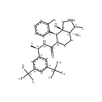 Cc1ccccc1[C@H]1[C@@H]2CNC(C)[C@H]2CCN1C(=O)N[C@H](C)c1cc(C(F)(F)F)cc(C(F)(F)F)c1